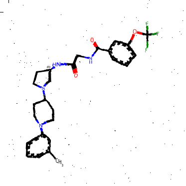 Cc1cccc(N2CCC(N3CC[C@@H](NC(=O)CNC(=O)c4cccc(OC(F)(F)F)c4)C3)CC2)c1